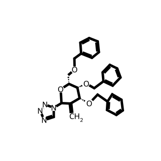 C=C1C(n2cnnn2)O[C@H](COCc2ccccc2)[C@H](OCc2ccccc2)[C@@H]1OCc1ccccc1